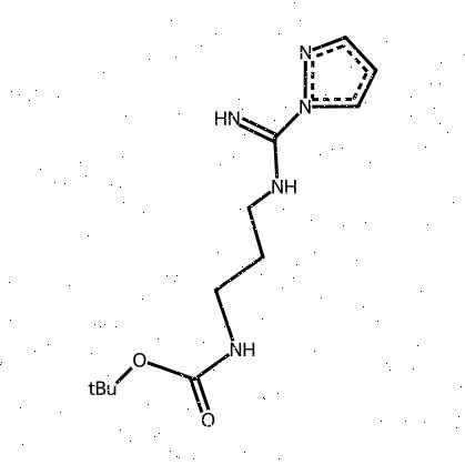 CC(C)(C)OC(=O)NCCCNC(=N)n1cccn1